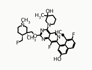 C#Cc1c(F)ccc2cc(O)cc(-c3ncc4c(N5CCCC(C)(O)C5)nc(OC[C@]5(C)CN(C)CC[C@@H]5CF)nc4c3F)c12